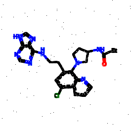 CCC(=O)NC1CCN(c2c(CCNc3ncnc4[nH]cnc34)cc(Cl)c3cccnc23)C1